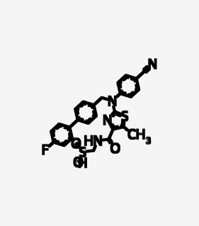 Cc1sc(N(Cc2ccc(-c3ccc(F)cc3)cc2)c2ccc(C#N)cc2)nc1C(=O)NC[SH](=O)=O